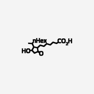 CCCCCCC(C)C1C(O)CC(=O)C1CCCCCCC(=O)O